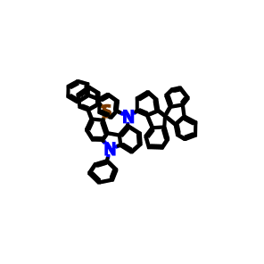 c1ccc(-c2ccc(N(c3cccc4c3-c3ccccc3C43c4ccccc4-c4ccccc43)c3cccc4c3c3c5sc6ccccc6c5ccc3n4-c3ccccc3)cc2)cc1